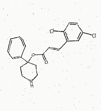 O=C(/C=C/c1cc(Cl)ccc1Cl)OC1(c2ccccc2)CCNCC1